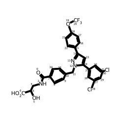 O=C(NCC(O)C(=O)O)c1ccc(Cn2nc(-c3ccc(OC(F)(F)F)cc3)cc2-c2cc(Cl)cc(Cl)c2)cc1